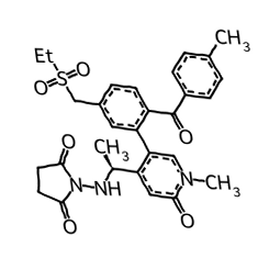 CCS(=O)(=O)Cc1ccc(C(=O)c2ccc(C)cc2)c(-c2cn(C)c(=O)cc2[C@H](C)NN2C(=O)CCC2=O)c1